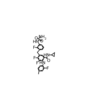 Cc1ccc(Nc2c(C(=O)NC3CC3)cc(Cc3cccc(NS(N)(=O)=O)c3F)c(F)c2F)c(F)c1